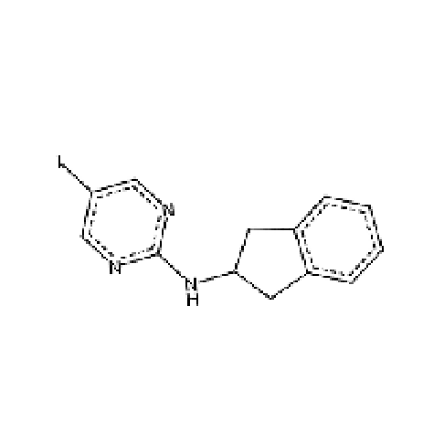 Ic1cnc(NC2Cc3ccccc3C2)nc1